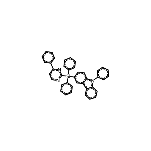 c1ccc(-c2ccnc([Si](c3ccccc3)(c3ccccc3)c3ccc4c(c3)c3ccccc3n4-c3ccccc3)n2)cc1